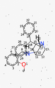 COc1ccccc1/C=N/[C@@H]1C2CCN(CC2)[C@H]1C(c1ccccc1)c1ccccc1